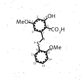 COc1cc(O)c(C(=O)O)c(CSc2ccccc2OC)c1